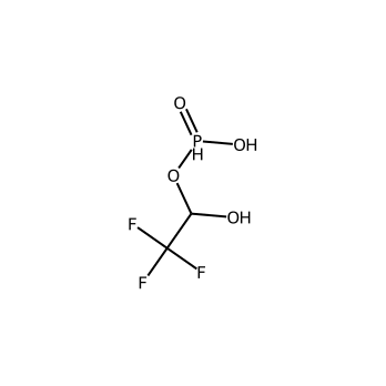 O=[PH](O)OC(O)C(F)(F)F